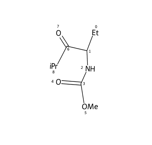 CCC(NC(=O)OC)C(=O)C(C)C